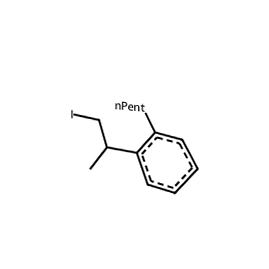 CCCCCc1ccccc1C(C)CI